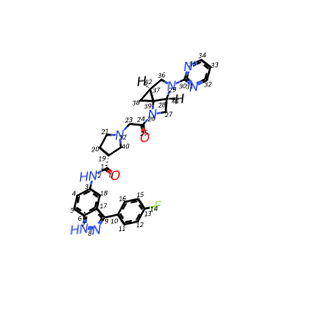 O=C(Nc1ccc2[nH]nc(-c3ccc(F)cc3)c2c1)[C@@H]1CCN(CC(=O)N2C[C@H]3N(c4ncccn4)C[C@@H]4CC432)C1